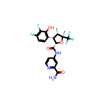 C[C@H]1[C@@H](c2ccc(F)c(F)c2O)[C@@H](C(=O)Nc2ccnc(C(N)=O)c2)O[C@]1(C)C(F)(F)F